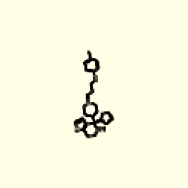 Cc1ccc(OCCCN2CCC(C3(C4CCCC4)NCCc4sccc43)CC2)cc1